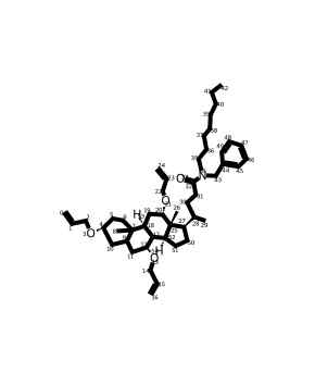 C=CCO[C@@H]1CCC2(C)C(C1)C[C@@H](OCC=C)C1[C@@H]2C[C@H](OCC=C)[C@]2(C)[C@@H](C(C)CCC(=O)N(CCCCCCCC)Cc3ccccc3)CC[C@@H]12